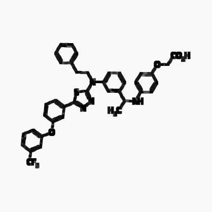 CC(Nc1ccc(OCC(=O)O)cc1)c1cccc(N(CCc2ccccc2)c2nnc(-c3cccc(Oc4cccc(C(F)(F)F)c4)c3)s2)c1